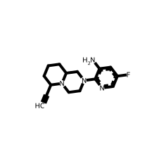 C#CC1CCCC2CN(c3ncc(F)cc3N)CCN12